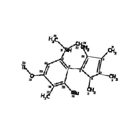 CC1=C(C)C(C)C(c2c([SiH](C)C)cc([O][Ti])c(C)c2C(C)(C)C)=C1C